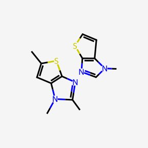 Cc1cc2c(nc(C)n2C)s1.Cn1cnc2sccc21